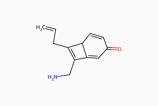 C=CCC1=C(CN)C2=[C]C(=O)C=CC21